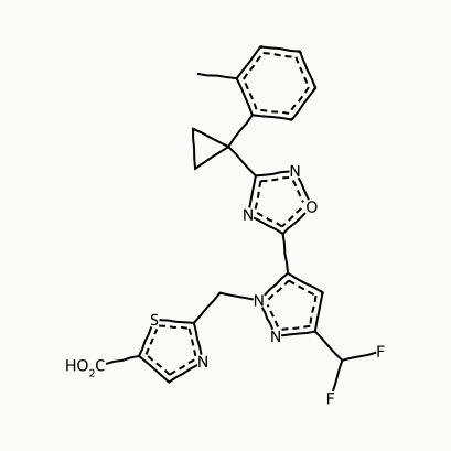 Cc1ccccc1C1(c2noc(-c3cc(C(F)F)nn3Cc3ncc(C(=O)O)s3)n2)CC1